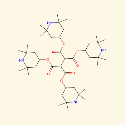 CC1(C)CC(OC(=O)C(C(=O)OC2CC(C)(C)NC(C)(C)C2)C(C(=O)OC2CC(C)(C)NC(C)(C)C2)C(=O)OC2CC(C)(C)NC(C)(C)C2)CC(C)(C)N1